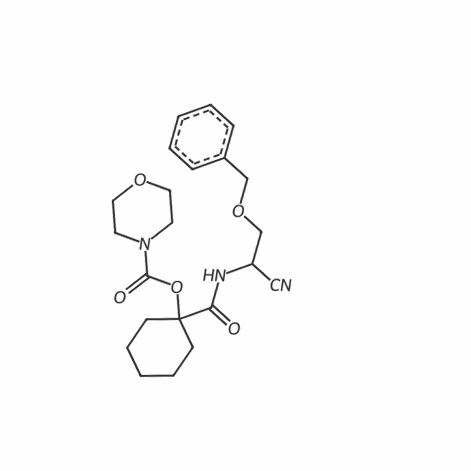 N#CC(COCc1ccccc1)NC(=O)C1(OC(=O)N2CCOCC2)CCCCC1